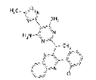 Cc1nc(-c2c(N)nc(C(C)c3nc4ccccc4nc3-c3ccccc3Cl)nc2N)no1